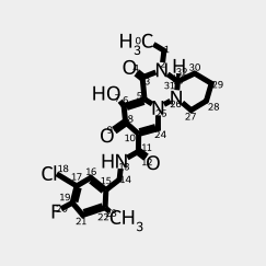 CCN1C(=O)c2c(O)c(=O)c(C(=O)NCc3cc(Cl)c(F)cc3C)cn2N2CCCC[C@@H]12